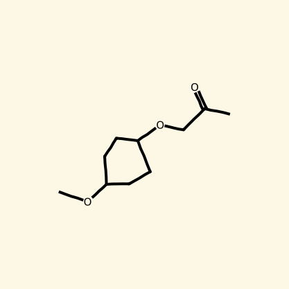 COC1CCC(OCC(C)=O)CC1